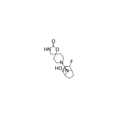 O=C1NCC2(CCN(C3CC4CCC(C3F)N4C(=O)O)CC2)O1